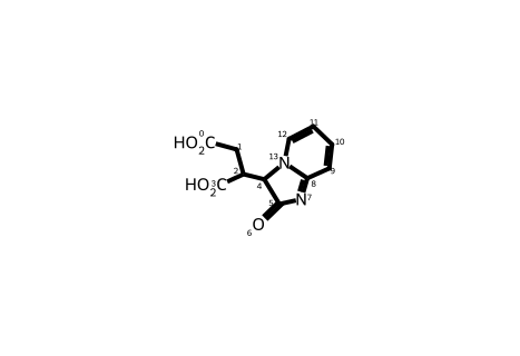 O=C(O)CC(C(=O)O)C1C(=O)N=C2C=CC=CN21